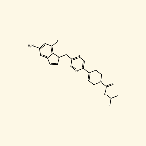 CC(C)OC(=O)N1CC=C(c2cnc(Cn3ccc4cc(N)cc(F)c43)cn2)CC1